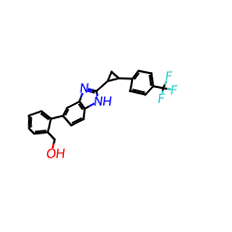 OCc1ccccc1-c1ccc2[nH]c(C3CC3c3ccc(C(F)(F)F)cc3)nc2c1